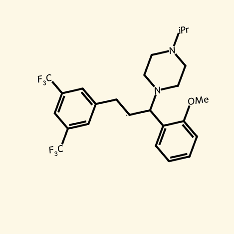 COc1ccccc1C([CH]Cc1cc(C(F)(F)F)cc(C(F)(F)F)c1)N1CCN(C(C)C)CC1